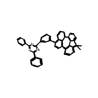 CC1(C)c2cccc3c2-c2c(cccc21)-c1ccc(-c2cccc(-c4nc(-c5ccccc5)nc(-c5ccccc5)n4)c2)c2cccc-3c12